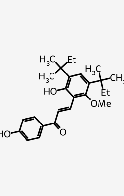 CCC(C)(C)c1cc(C(C)(C)CC)c(OC)c(C=CC(=O)c2ccc(O)cc2)c1O